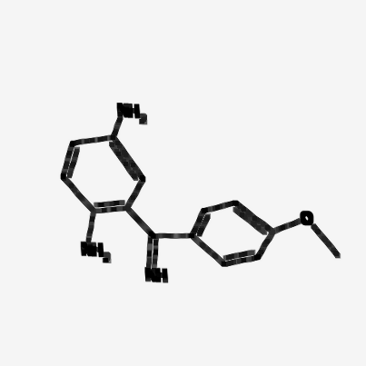 COc1ccc(C(=N)c2cc(N)ccc2N)cc1